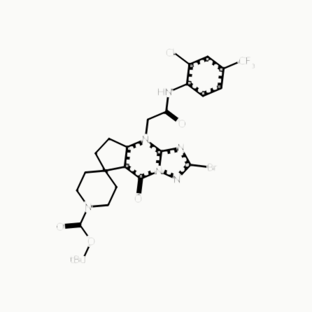 CC(C)(C)OC(=O)N1CCC2(CCc3c2c(=O)n2nc(Br)nc2n3CC(=O)Nc2ccc(C(F)(F)F)cc2Cl)CC1